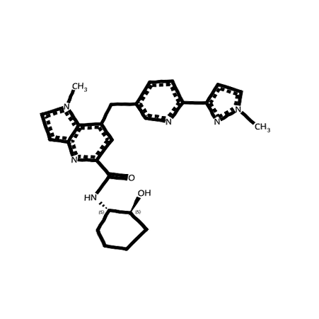 Cn1ccc(-c2ccc(Cc3cc(C(=O)N[C@H]4CCCC[C@@H]4O)nc4ccn(C)c34)cn2)n1